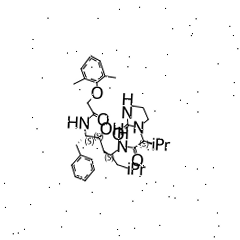 Cc1cccc(C)c1OCC(=O)N[C@@H](Cc1ccccc1)[C@@H](O)C[C@H](CC(C)C)NC(=O)[C@H](C(C)C)N1CCCNC1=O